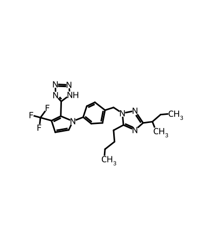 CCCCc1nc(C(C)CC)nn1Cc1ccc(-n2ccc(C(F)(F)F)c2-c2nnn[nH]2)cc1